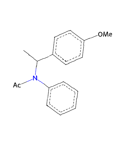 COc1ccc(C(C)N(C(C)=O)c2ccccc2)cc1